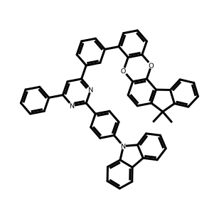 CC1(C)c2ccccc2-c2c1ccc1c2Oc2cccc(-c3cccc(-c4cc(-c5ccccc5)nc(-c5ccc(-n6c7ccccc7c7ccccc76)cc5)n4)c3)c2O1